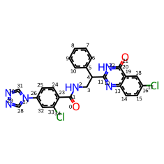 O=C(NCC(c1ccccc1)c1nc2ccc(Cl)cc2c(=O)[nH]1)c1ccc(-n2cnnc2)cc1Cl